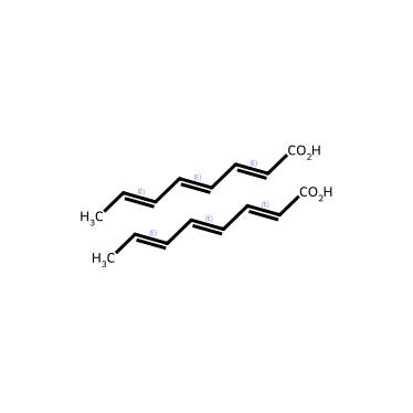 C/C=C/C=C/C=C/C(=O)O.C/C=C/C=C/C=C/C(=O)O